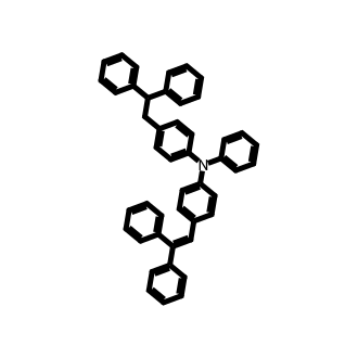 C(=C(c1ccccc1)c1ccccc1)c1ccc(N(c2ccccc2)c2ccc(CC(c3ccccc3)c3ccccc3)cc2)cc1